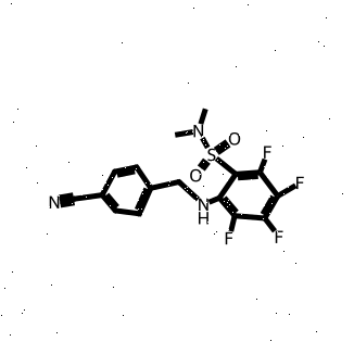 CN(C)S(=O)(=O)c1c(F)c(F)c(F)c(F)c1NCc1ccc(C#N)cc1